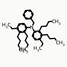 CCCCc1c(CC)ccc(N(Cc2ccccc2)c2ccc(CC)c(CCCC)c2CCCC)c1CCCC